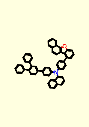 c1ccc(-c2ccc(-c3ccc(N(c4ccc(-c5cccc6oc7c8ccccc8ccc7c56)cc4)c4cccc5ccccc45)cc3)cc2-c2ccccc2)cc1